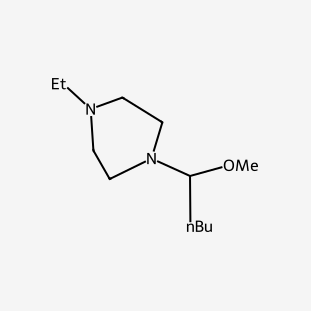 CCCCC(OC)N1CCN(CC)CC1